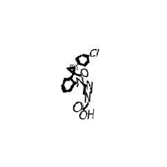 O=C(O)Cn1cnc(N2C(=O)C3(C[C@@H]3c3ccc(Cl)cc3)c3ccccc32)c1